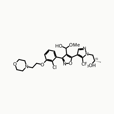 COC(O)c1c(-c2cccc(OCCN3CCOCC3)c2Cl)noc1-c1cnn(C[C@H](C)O)c1C(F)(F)F